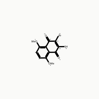 COc1ccc(OC)c2c1C(=O)C(S)=C(C(C)C)C2=O